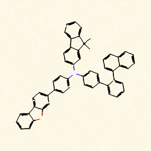 CC1(C)c2ccccc2-c2ccc(N(c3ccc(-c4ccc5c(c4)oc4ccccc45)cc3)c3ccc(-c4ccccc4-c4cccc5ccccc45)cc3)cc21